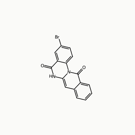 O=c1[nH]c2cc3ccccc3c(=O)n2c2ccc(Br)cc12